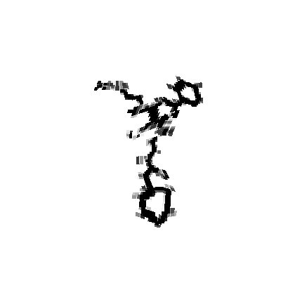 CC(=O)NCCNc1nc(-c2ccccc2)nc(NCCNC(=O)Cc2ccccc2)c1C